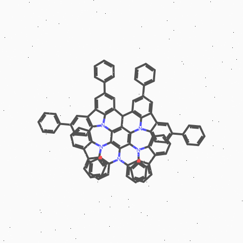 c1ccc(-c2ccc3c(c2)c2cc(-c4ccccc4)cc4c2n3-c2c3c(c(-n5c6ccccc6c6ccccc65)c(N(c5ccccc5)c5ccccc5)c2-n2c5ccccc5c5ccccc52)-n2c5ccc(-c6ccccc6)cc5c5cc(-c6ccccc6)cc(c52)C34)cc1